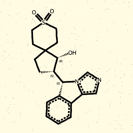 O=S1(=O)CCC2(CC[C@@H]([C@H]3c4ccccc4-c4cncn43)[C@H]2O)CC1